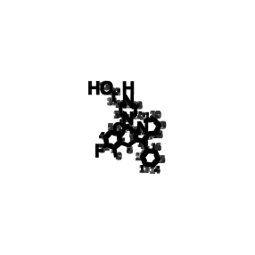 Cc1c(F)cccc1Cc1c(-c2ccccc2)c2ccccn2c1C(=O)N1CCN[C@@H](CCO)C1